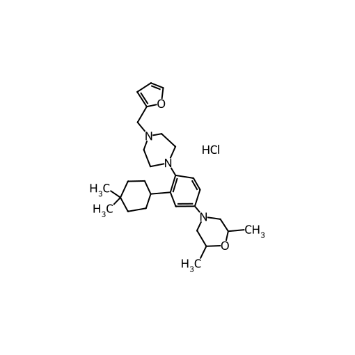 CC1CN(c2ccc(N3CCN(Cc4ccco4)CC3)c(C3CCC(C)(C)CC3)c2)CC(C)O1.Cl